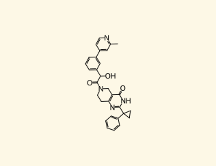 Cc1cc(-c2cccc(C(O)C(=O)N3CCc4nc(C5(c6ccccc6)CC5)[nH]c(=O)c4C3)c2)ccn1